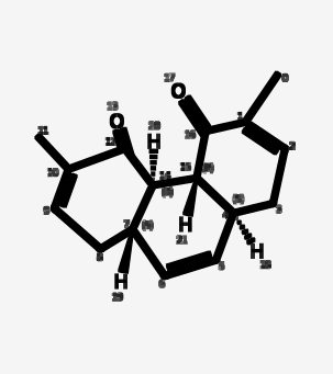 CC1=CC[C@H]2C=C[C@@H]3CC=C(C)C(=O)[C@H]3[C@@H]2C1=O